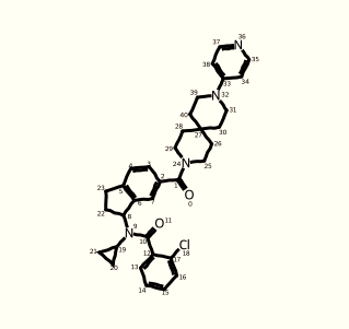 O=C(c1ccc2c(c1)C(N(C(=O)c1ccccc1Cl)C1CC1)CC2)N1CCC2(CC1)CCN(c1ccncc1)CC2